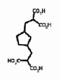 O=C(O)C(CC1CCC(CC(C(=O)O)C(=O)O)C1)C(=O)O